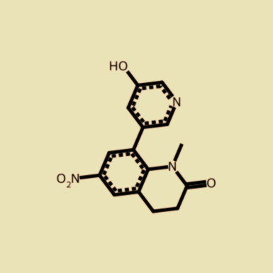 CN1C(=O)CCc2cc([N+](=O)[O-])cc(-c3cncc(O)c3)c21